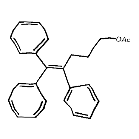 CC(=O)OCCCC(=C(c1ccccc1)c1ccccc1)c1ccccc1